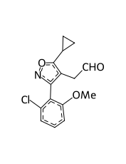 COc1cccc(Cl)c1-c1noc(C2CC2)c1CC=O